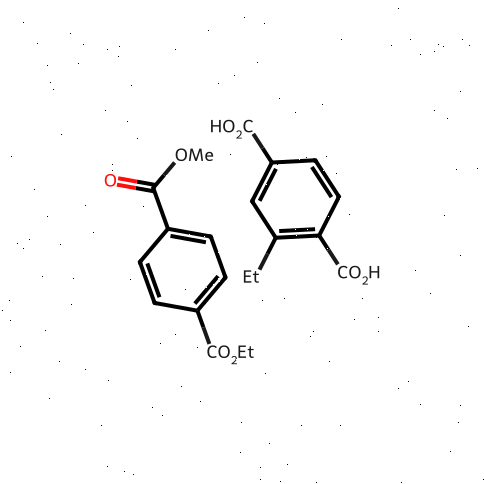 CCOC(=O)c1ccc(C(=O)OC)cc1.CCc1cc(C(=O)O)ccc1C(=O)O